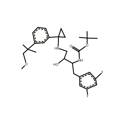 COCC(C)(C)c1cccc(C2(NCC(O)C(Cc3cc(F)cc(F)c3)NC(=O)OC(C)(C)C)CC2)c1